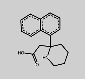 O=C(O)CC1(c2cccc3ccccc23)CCCCN1